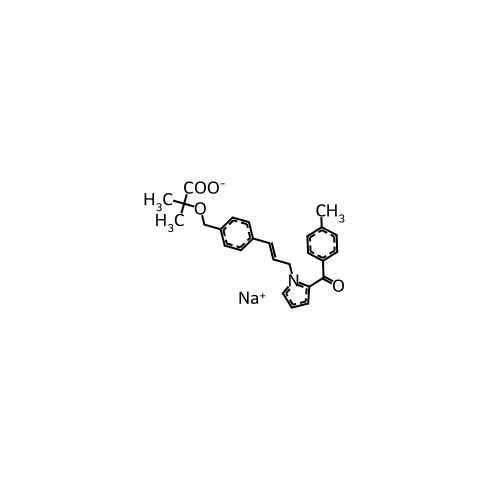 Cc1ccc(C(=O)c2cccn2CC=Cc2ccc(COC(C)(C)C(=O)[O-])cc2)cc1.[Na+]